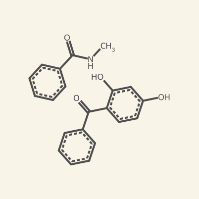 CNC(=O)c1ccccc1.O=C(c1ccccc1)c1ccc(O)cc1O